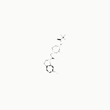 C[C@@H]1CN(CC(=O)N2CCc3ccc(N)cc32)CCN1OC(=O)C(C)(C)C